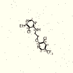 CCc1ncnc(NCCOc2ncc(C(F)(F)F)cc2Cl)c1Cl